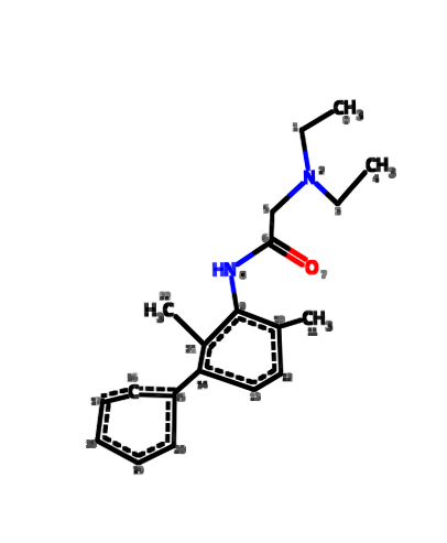 CCN(CC)CC(=O)Nc1c(C)ccc(-c2ccccc2)c1C